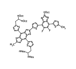 CCCCCCCCC(CCCCCCCC)Cc1ccc(-c2c3cc(-c4ccc(-c5c(F)c(F)c(-c6ccc(C)s6)c6nn(CCCCCCCC)nc56)s4)sc3c(-c3ccc(CC(CCCCCC)CCCCCC)s3)c3cc(C)sc23)s1